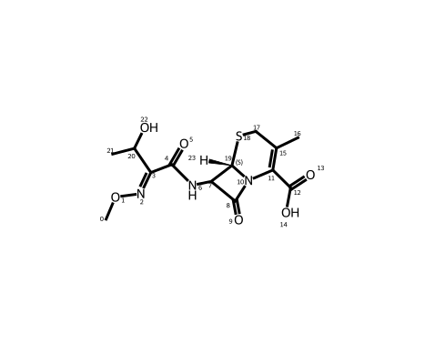 CON=C(C(=O)NC1C(=O)N2C(C(=O)O)=C(C)CS[C@@H]12)C(C)O